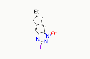 CCC1Cc2cc3nc(I)n[n+]([O-])c3cc2C1